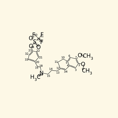 COc1cc2c(cc1OC)CCC(CCCN(C)CCc1ccc(OS(=O)(=O)C(F)(F)F)cc1)=C2